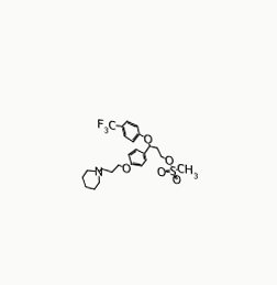 CS(=O)(=O)OCCC(Oc1ccc(C(F)(F)F)cc1)c1ccc(OCCCN2CCCCC2)cc1